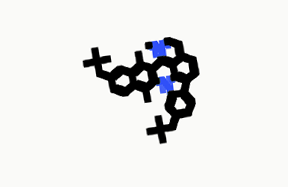 Cc1c2cc(CC(C)(C)C)ccc2c(C)c2c1c1c3c(ccc4c5ccc(CC(C)(C)C)cc5n2c43)cc[n+]1C